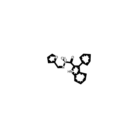 CN(/N=C\c1ccco1)C(=O)c1[nH]c2ccccc2c1-c1ccccc1